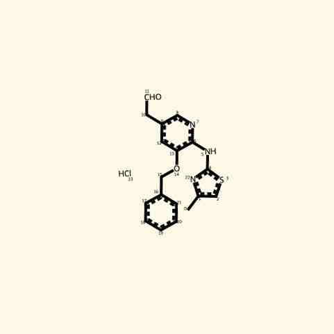 Cc1csc(Nc2ncc(CC=O)cc2OCc2ccccc2)n1.Cl